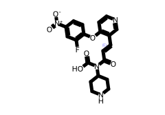 O=C(O)N(C(=O)/C=C/c1cnccc1Oc1ccc([N+](=O)[O-])cc1F)C1CCNCC1